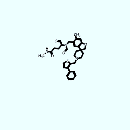 CNC(=O)CCC(C=O)N(C=O)Cc1cc2c(cc1C)OCC21CCN(Cc2sccc2-c2ccccc2)CC1